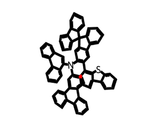 c1ccc2c(c1)-c1ccccc1C21c2ccccc2-c2cc(-c3cccc4c3sc3ccccc34)c(N(c3ccc4c5ccccc5c5ccccc5c4c3)c3cc4ccccc4c4ccccc34)cc21